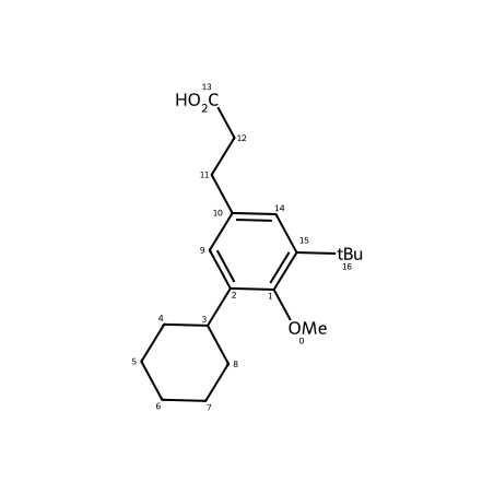 COc1c(C2CCCCC2)cc(CCC(=O)O)cc1C(C)(C)C